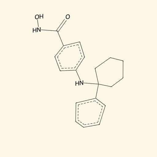 O=C(NO)c1ccc(NC2(c3ccccc3)CCCCC2)cc1